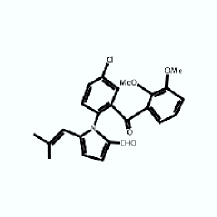 COc1cccc(C(=O)c2cc(Cl)ccc2-n2c(C=O)ccc2C=C(C)C)c1OC